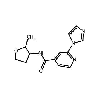 C[C@@H]1OCC[C@@H]1NC(=O)c1ccnc(-n2ccnc2)c1